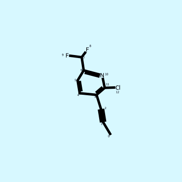 CC#Cc1ccc(C(F)F)nc1Cl